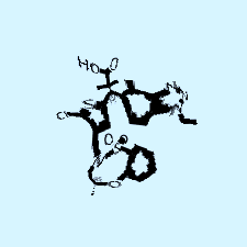 CCn1nnc2c(C)c([C@H](c3cc(CN4C[C@@H](C)Oc5ccccc5S4(=O)=O)c(Cl)s3)C(C)(C)C(=O)O)ccc21